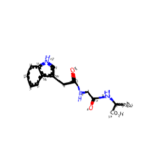 CCCCC(NC(=O)CNC(=O)Cc1c[nH]c2ccccc12)C(=O)O